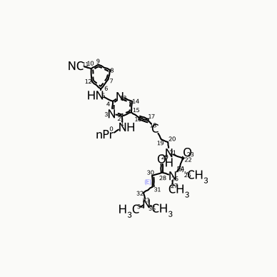 CCCNc1nc(Nc2cccc(C#N)c2)ncc1C#CCCCNC(=O)[C@H](C)N(C)C(=O)/C=C/CN(C)C